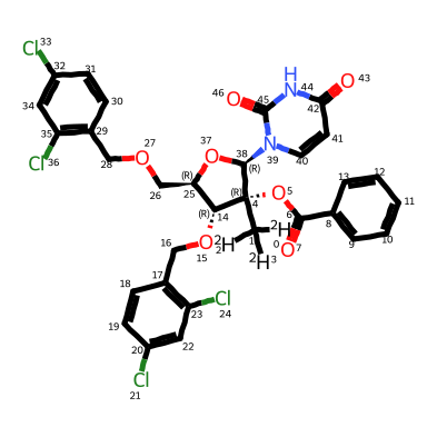 [2H]C([2H])([2H])[C@@]1(OC(=O)c2ccccc2)[C@H](OCc2ccc(Cl)cc2Cl)[C@@H](COCc2ccc(Cl)cc2Cl)O[C@H]1n1ccc(=O)[nH]c1=O